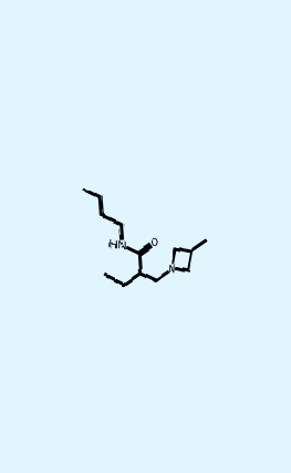 CCCCNC(=O)C(CC)CN1CC(C)C1